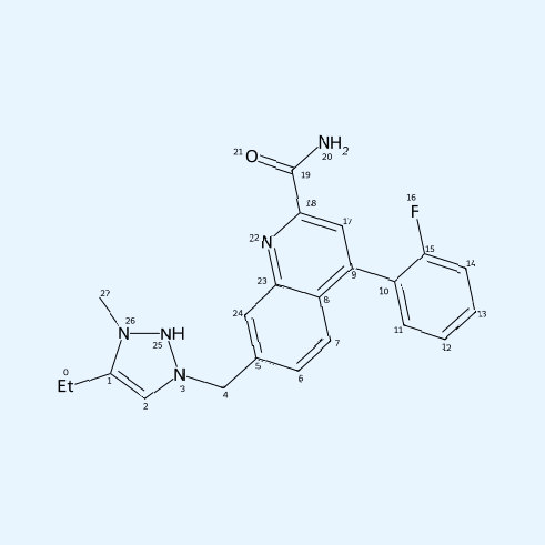 CCC1=CN(Cc2ccc3c(-c4ccccc4F)cc(C(N)=O)nc3c2)NN1C